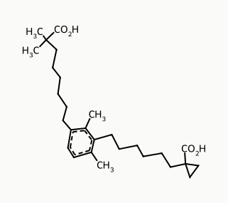 Cc1ccc(CCCCCCC(C)(C)C(=O)O)c(C)c1CCCCCCC1(C(=O)O)CC1